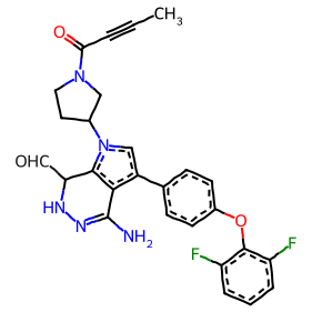 CC#CC(=O)N1CCC(n2cc(-c3ccc(Oc4c(F)cccc4F)cc3)c3c2C(C=O)NN=C3N)C1